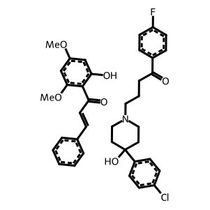 COc1cc(O)c(C(=O)C=Cc2ccccc2)c(OC)c1.O=C(CCCN1CCC(O)(c2ccc(Cl)cc2)CC1)c1ccc(F)cc1